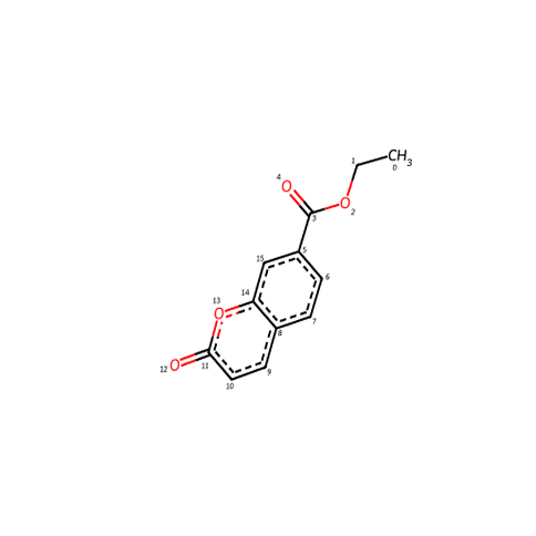 CCOC(=O)c1ccc2ccc(=O)oc2c1